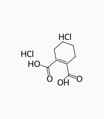 Cl.Cl.O=C(O)C1=C(C(=O)O)CCCC1